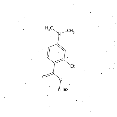 CCCCCCOC(=O)c1ccc(N(C)C)cc1CC